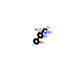 CC1(c2ccc(-c3ccc(F)cc3Br)cc2)CC(=O)NN1